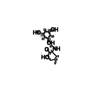 CNC(CC(C)C)C(=O)O.Oc1cc(O)cc(O)c1